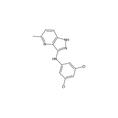 Cc1ccc2[nH]nc(Nc3cc(Cl)cc(Cl)c3)c2n1